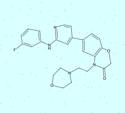 O=C1COc2ccc(-c3ccnc(Nc4cccc(F)c4)c3)cc2N1CCN1CCOCC1